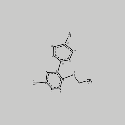 FC(F)(F)COc1nnc(Cl)cc1-c1ccc(Cl)cc1